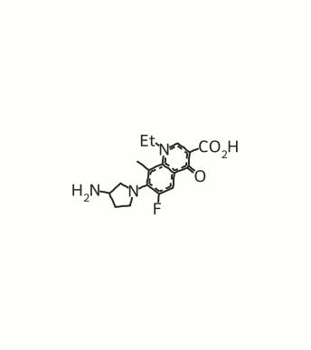 CCn1cc(C(=O)O)c(=O)c2cc(F)c(N3CCC(N)C3)c(C)c21